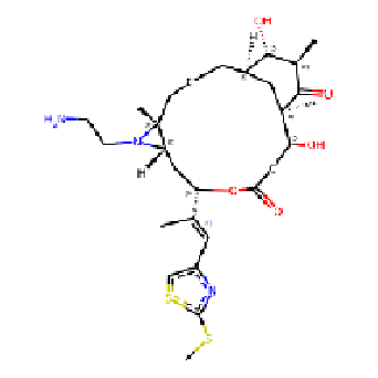 CSc1nc(/C=C(\C)[C@@H]2C[C@@H]3N(CCN)[C@]3(C)CCC[C@@H]3C[C@@](C)(C(=O)[C@H](C)[C@H]3O)[C@@H](O)CC(=O)O2)cs1